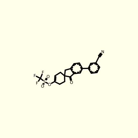 N#Cc1cccc(-c2ccc3c(c2)C(=O)C2(CC=C(OS(=O)(=O)C(F)(F)F)CC2)C3)c1